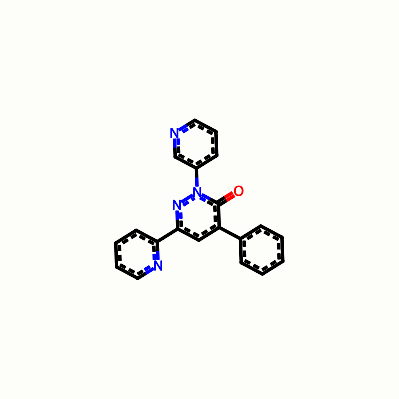 O=c1c(-c2ccccc2)cc(-c2ccccn2)nn1-c1cccnc1